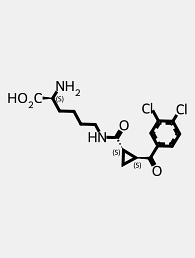 N[C@@H](CCCCNC(=O)[C@H]1C[C@@H]1C(=O)c1ccc(Cl)c(Cl)c1)C(=O)O